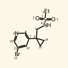 CCS(=O)(=O)NCC1(c2cncc(Br)c2)CC1